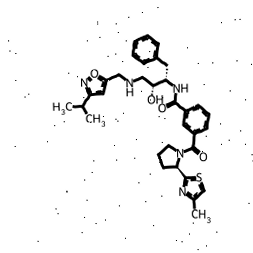 Cc1csc([C@H]2CCCN2C(=O)c2cccc(C(=O)N[C@@H](Cc3ccccc3)[C@H](O)CNCc3cc(C(C)C)no3)c2)n1